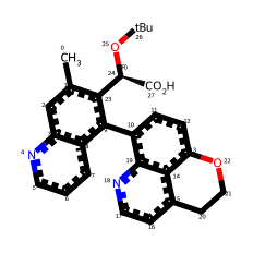 Cc1cc2ncccc2c(-c2ccc3c4c(ccnc24)CCO3)c1[C@@H](OC(C)(C)C)C(=O)O